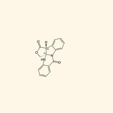 O=C1OC[C@@]23Nc4ccccc4C(=O)N2c2ccccc2[C@@H]13